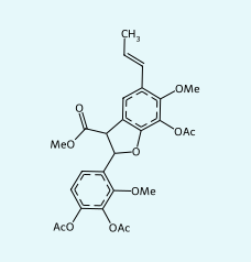 C/C=C/c1cc2c(c(OC(C)=O)c1OC)OC(c1ccc(OC(C)=O)c(OC(C)=O)c1OC)C2C(=O)OC